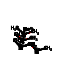 CCCCCCCCCCCC[N+]([S-])(CCCCCCCCCCCC)C(=S)[S-].CCCCCCCCCCCC[N+]([S-])(CCCCCCCCCCCC)C(=S)[S-].CCCCCCCCCCCC[N+]([S-])(CCCCCCCCCCCC)C(=S)[S-].CCCCCCCCCCCC[N+]([S-])(CCCCCCCCCCCC)C(=S)[S-].[Mo+4]